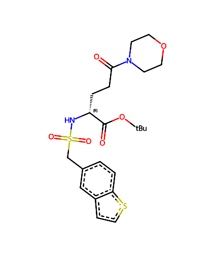 CC(C)(C)OC(=O)[C@@H](CCC(=O)N1CCOCC1)NS(=O)(=O)Cc1ccc2sccc2c1